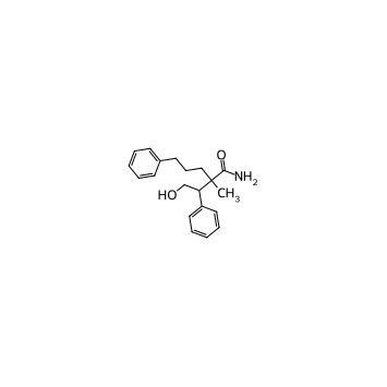 CC(CCCc1ccccc1)(C(N)=O)C(CO)c1ccccc1